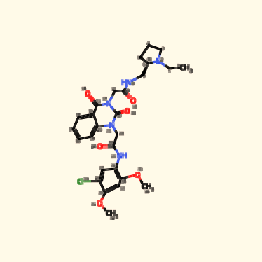 CCN1CCC[C@@H]1CNC(=O)Cn1c(=O)c2ccccc2n(CC(=O)Nc2cc(Cl)c(OC)cc2OC)c1=O